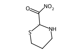 O=C([C]1NCCCS1)[N+](=O)[O-]